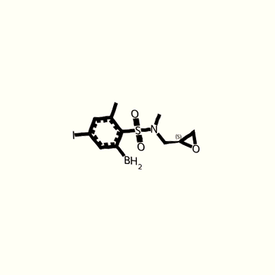 Bc1cc(I)cc(C)c1S(=O)(=O)N(C)C[C@H]1CO1